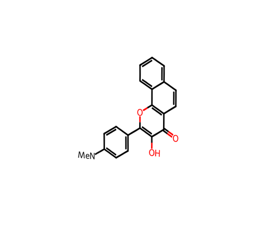 CNc1ccc(-c2oc3c(ccc4ccccc43)c(=O)c2O)cc1